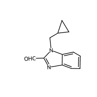 O=Cc1nc2ccccc2n1CC1CC1